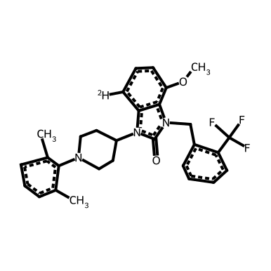 [2H]c1ccc(OC)c2c1n(C1CCN(c3c(C)cccc3C)CC1)c(=O)n2Cc1ccccc1C(F)(F)F